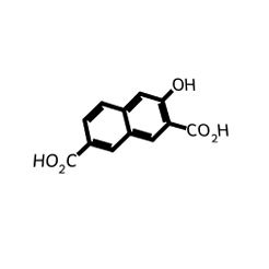 O=C(O)c1ccc2cc(O)c(C(=O)O)cc2c1